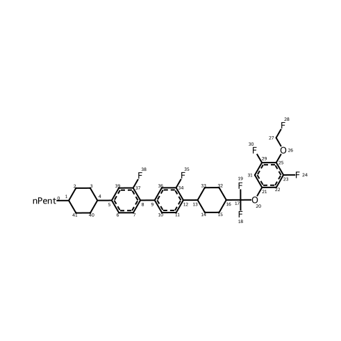 CCCCCC1CCC(c2ccc(-c3ccc(C4CCC(C(F)(F)Oc5cc(F)c(OCF)c(F)c5)CC4)c(F)c3)c(F)c2)CC1